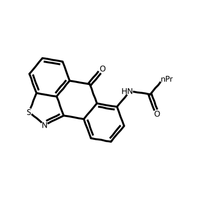 CCCC(=O)Nc1cccc2c1C(=O)c1cccc3snc-2c13